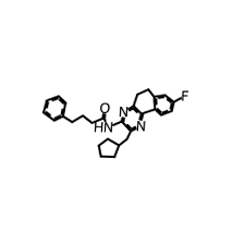 O=C(CCCc1ccccc1)Nc1nc2c(nc1CC1CCCC1)-c1ccc(F)cc1CC2